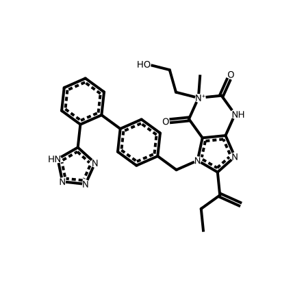 C=C(CC)c1nc2c(n1Cc1ccc(-c3ccccc3-c3nnn[nH]3)cc1)C(=O)[N+](C)(CCO)C(=O)N2